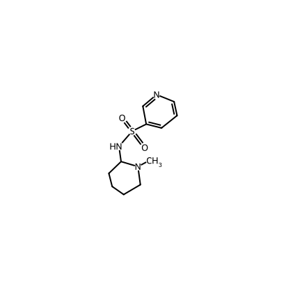 CN1CCCCC1NS(=O)(=O)c1cccnc1